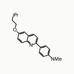 CNc1ccc(-c2ccc3cc(OCCC(C)C)ccc3n2)cc1